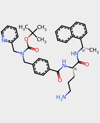 C[C@H](NC(=O)[C@H](CCCN)NC(=O)c1ccc(CN(Cc2ccccn2)C(=O)OC(C)(C)C)cc1)c1cccc2ccccc12